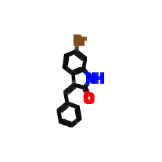 O=C1Nc2cc(Br)ccc2C1=Cc1ccccc1